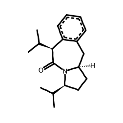 CC(C)[C@@H]1C(=O)N2[C@H](CC[C@H]2C(C)C)Cc2ccccc21